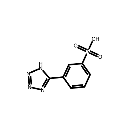 O=S(=O)(O)c1cccc(-c2nnn[nH]2)c1